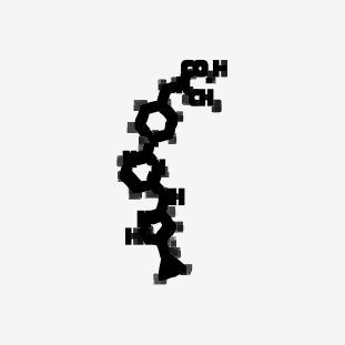 CN(CC1CCN(c2nccc(Nc3cc(C4CC4)[nH]n3)n2)CC1)C(=O)O